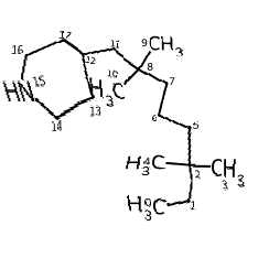 CCC(C)(C)CCCC(C)(C)CC1CCNCC1